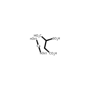 CCCCCCC[CH2][Ca][CH2]CCCCCCC.O=C(O)CC(C(=O)O)S(=O)(=O)O